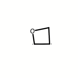 [CH]1[CH]OC1